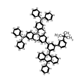 CC(C)(C)c1cccc(-c2cc(-c3cc4c5c(c3)Sc3cc(N(c6ccccc6)c6ccccc6)ccc3B5c3ccc(N(c5ccccc5)c5ccccc5)cc3S4)cc(-c3c4ccccc4c(-c4ccccc4)c4ccccc34)c2)c1